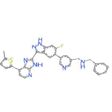 Cc1ccc(-c2ccnc3[nH]c(-c4n[nH]c5cc(F)c(-c6cncc(CNCc7ccccc7)c6)cc45)nc23)s1